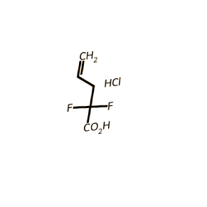 C=CCC(F)(F)C(=O)O.Cl